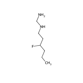 CCCC(F)CCNCN